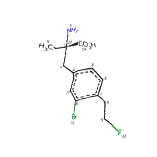 C[C@](N)(Cc1ccc(CCF)c(Br)c1)C(=O)O